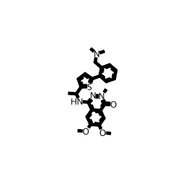 COc1cc2c(NC(C)c3ccc(-c4ccccc4CN(C)C)s3)nn(C)c(=O)c2cc1OC